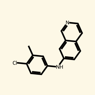 Cc1cc(Nc2ccc3ccncc3c2)ccc1Cl